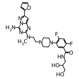 CN(CCN1CCN(c2cc(C(=O)NCC(O)CO)c(F)cc2F)CC1)c1nc(N)n2nc(-c3ccco3)cc2n1